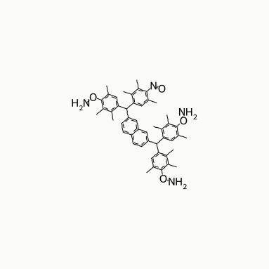 Cc1cc(C(c2ccc3ccc(C(c4cc(C)c(ON)c(C)c4C)c4cc(C)c(ON)c(C)c4C)cc3c2)c2cc(C)c(ON)c(C)c2C)c(C)c(C)c1N=O